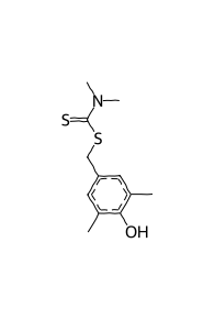 Cc1cc(CSC(=S)N(C)C)cc(C)c1O